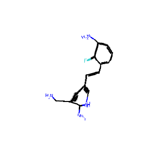 NCC1=CC(C=CC2=CC=CC(N)C2F)=CNC1N